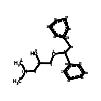 CN(C)CC(O)COC(Cc1ccccc1)c1ccccc1